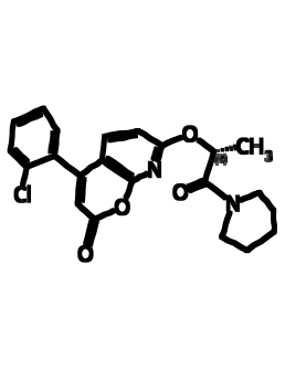 C[C@@H](Oc1ccc2c(-c3ccccc3Cl)cc(=O)oc2n1)C(=O)N1CCCCC1